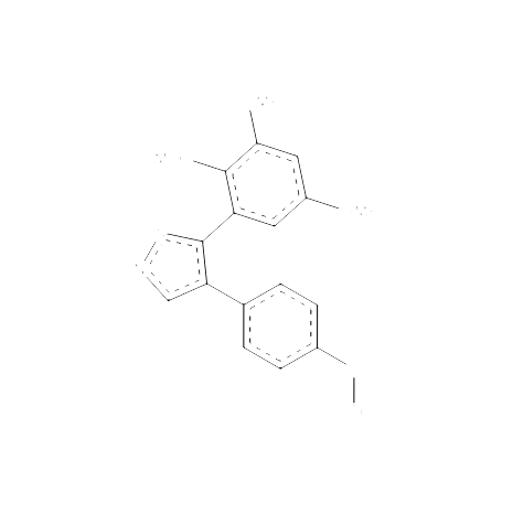 CCOc1ccc(-c2cnsc2-c2cc(OC)cc(OC)c2OC)cc1